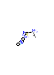 C[C@@H](N)C#Cc1cc2ncnc(Nc3ccc4c(cnn4Cc4ccccc4F)c3)c2s1